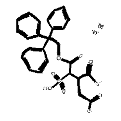 O=C([O-])CC(C(=O)[O-])C(C(=O)OCC(c1ccccc1)(c1ccccc1)c1ccccc1)S(=O)(=O)O.[Na+].[Na+]